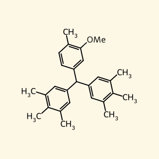 COc1cc(C(c2cc(C)c(C)c(C)c2)c2cc(C)c(C)c(C)c2)ccc1C